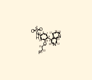 CS(=O)(=O)Nc1ccc(-c2cncc3ncccc23)c(OCCF)c1